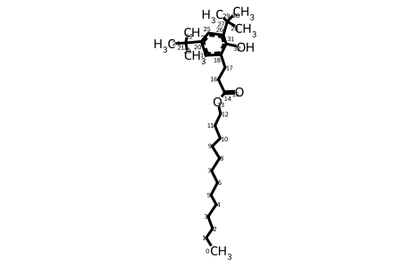 CCCCCCCCCCCCCOC(=O)CCc1cc(C(C)(C)C)cc(C(C)(C)C)c1O